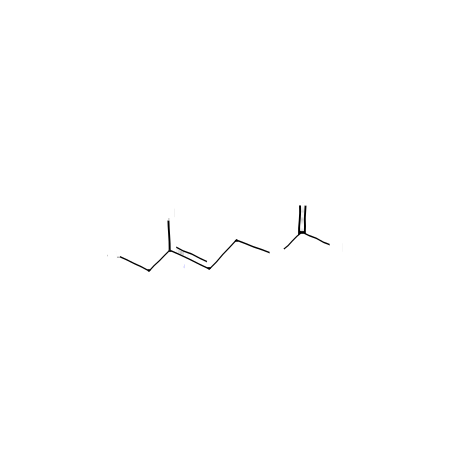 CC(=O)OC/C=C(\C)CCl